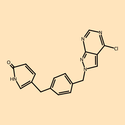 O=c1ccc(Cc2ccc(Cn3cc4c(Cl)ncnc4n3)cc2)c[nH]1